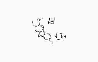 CCC(Sc1nc2cc(Cl)c(N3CCNCC3)cc2[nH]1)C(=O)OC.Cl.Cl